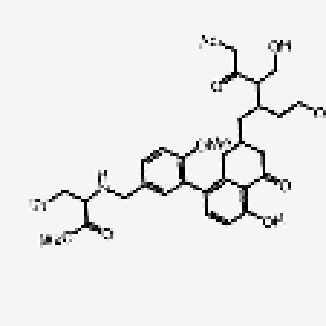 COC(=O)C(CC(C)C)NCc1ccc(OC)c(-c2ccc(O)c3c2CC(CC(CCO)C(CO)C(=O)CC(C)=O)CC3=O)c1